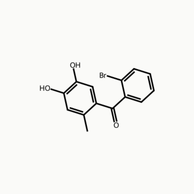 Cc1cc(O)c(O)cc1C(=O)c1ccccc1Br